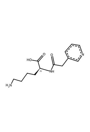 NCCCC[C@H](NC(=O)Cc1cccnc1)C(=O)O